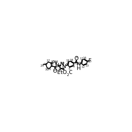 CCOC(=O)c1cn(-c2ccc(C(=O)Nc3ccc(F)cc3)cc2)nc1N(C(=O)C1CCC(C)CC1)C(C)C